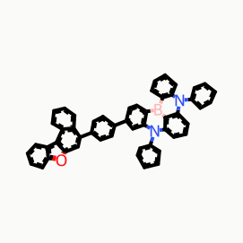 c1ccc(N2c3ccccc3B3c4ccc(-c5ccc(-c6cc7oc8ccccc8c7c7ccccc67)cc5)cc4N(c4ccccc4)c4cccc2c43)cc1